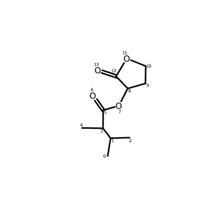 CC(C)C(C)C(=O)OC1CCOC1=O